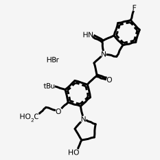 Br.CC(C)(C)c1cc(C(=O)CN2Cc3ccc(F)cc3C2=N)cc(N2CCC(O)C2)c1OCC(=O)O